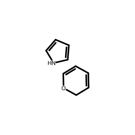 C1=CCOC=C1.c1cc[nH]c1